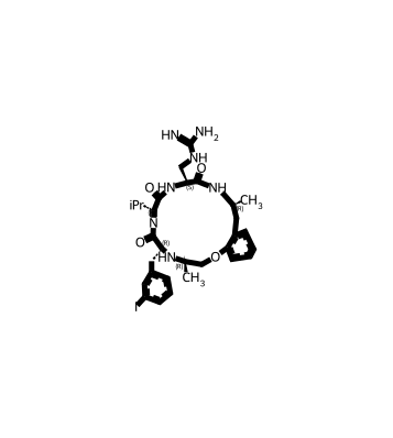 CC(C)[C@H]1NC(=O)[C@@H](Cc2cccc(I)c2)N[C@H](C)COc2ccccc2C[C@@H](C)CNC(=O)[C@H](CNC(=N)N)NC1=O